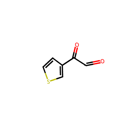 O=[C]C(=O)c1ccsc1